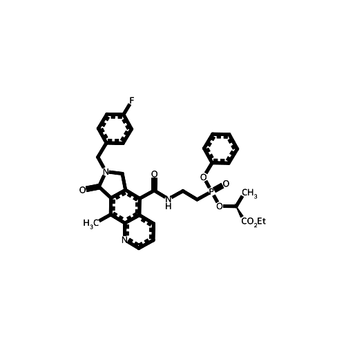 CCOC(=O)[C@H](C)OP(=O)(CCNC(=O)c1c2c(c(C)c3ncccc13)C(=O)N(Cc1ccc(F)cc1)C2)Oc1ccccc1